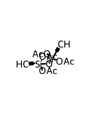 C#C[Si](OC(C)=O)(OC(C)=O)O[Si](C#C)(OC(C)=O)OC(C)=O